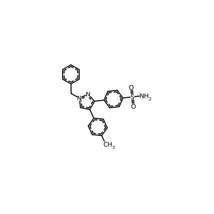 Cc1ccc(-c2cn(Cc3ccccc3)nc2-c2ccc(S(N)(=O)=O)cc2)cc1